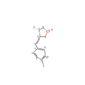 Cc1ccc(/C=C2\COC[C@H]2C)cc1